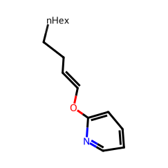 CCCCCCCCC=COc1ccccn1